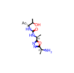 CC(=O)[C@@H](NC(=O)N[C@@H](C)c1nnc([C@H](C)N)o1)C(C)O